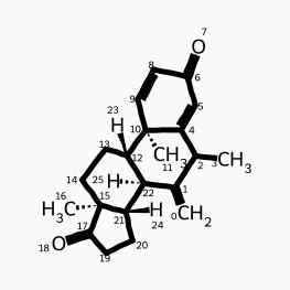 C=C1C(C)C2=CC(=O)C=C[C@]2(C)[C@H]2CC[C@]3(C)C(=O)CC[C@H]3[C@H]12